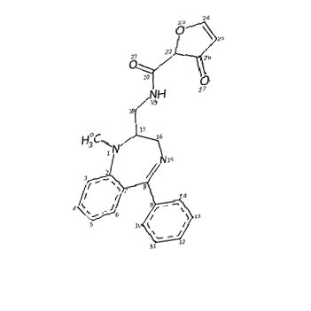 CN1c2ccccc2C(c2ccccc2)=NCC1CNC(=O)C1OC=CC1=O